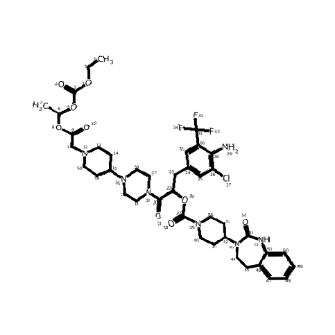 CCOC(=O)O[C@H](C)OC(=O)CN1CCC(N2CCN(C(=O)C(Cc3cc(Cl)c(N)c(C(F)(F)F)c3)OC(=O)N3CCC(N4CCc5ccccc5NC4=O)CC3)CC2)CC1